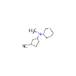 CN(C1CCCCC1)C1CCC(C#N)C1